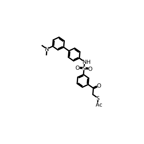 CC(=O)SCC(=O)c1cccc(S(=O)(=O)Nc2ccc(-c3cccc(N(C)C)c3)cc2)c1